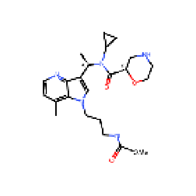 COC(=O)NCCCn1cc([C@@H](C)N(C(=O)[C@H]2CNCCO2)C2CC2)c2nccc(C)c21